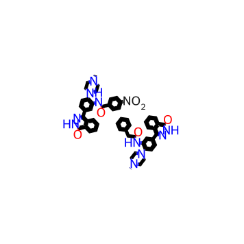 CN1CCN(c2ccc(-c3n[nH]c(=O)c4ccccc34)cc2NC(=O)Cc2ccccc2)CC1.CN1CCN(c2ccc(-c3n[nH]c(=O)c4ccccc34)cc2NC(=O)c2ccc([N+](=O)[O-])cc2)CC1